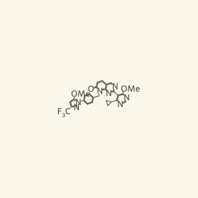 COc1ncnc(C2CC2)c1-c1ncc2ccc(=O)n(Cc3ccc(-n4nc(C(F)(F)F)cc4OC)cc3)c2n1